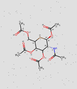 CC(=O)N[C@@H]1C(OC(C)=O)C(OC(C)=O)C(COC(C)=O)S[C@H]1OC(C)=O